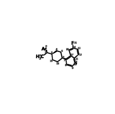 CC(=O)[C@H](C)[C@H]1CC[C@@H](c2ccnc3ccc(F)cc32)CC1